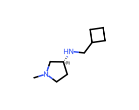 CN1CC[C@@H](NCC2CCC2)C1